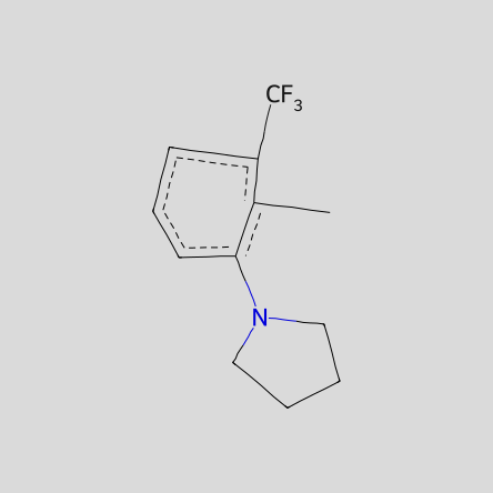 Cc1c(N2CCCC2)cccc1C(F)(F)F